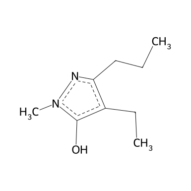 CCCc1nn(C)c(O)c1CC